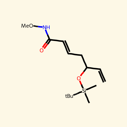 C=CC(C/C=C/C(=O)NOC)O[Si](C)(C)C(C)(C)C